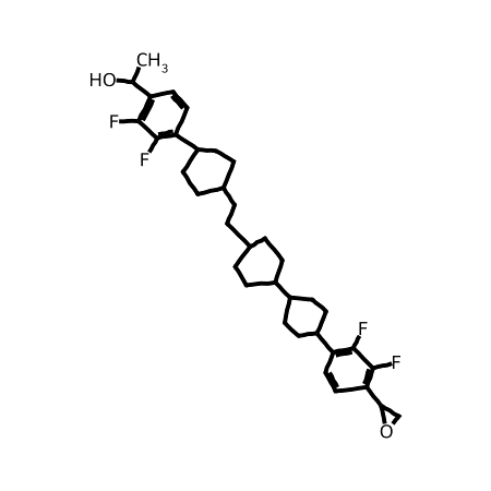 CC(O)c1ccc(C2CCC(CCC3CCC(C4CCC(c5ccc(C6CO6)c(F)c5F)CC4)CC3)CC2)c(F)c1F